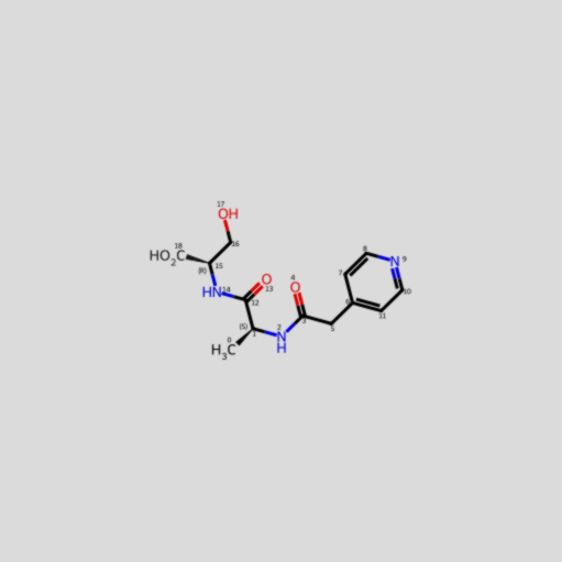 C[C@H](NC(=O)Cc1ccncc1)C(=O)N[C@H](CO)C(=O)O